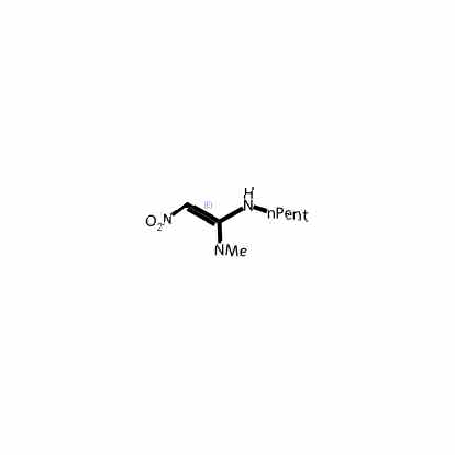 CCCCCN/C(=C/[N+](=O)[O-])NC